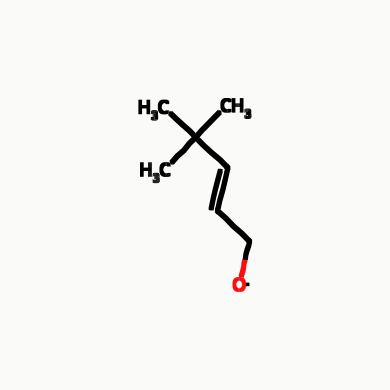 CC(C)(C)C=CC[O]